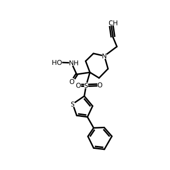 C#CCN1CCC(C(=O)NO)(S(=O)(=O)c2cc(-c3ccccc3)cs2)CC1